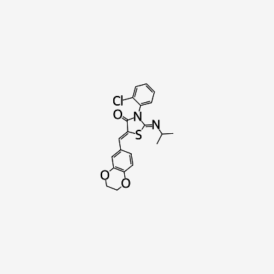 CC(C)/N=C1\S/C(=C\c2ccc3c(c2)OCCO3)C(=O)N1c1ccccc1Cl